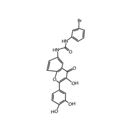 O=C(Nc1cccc(Br)c1)Nc1ccc2oc(-c3ccc(O)c(O)c3)c(O)c(=O)c2c1